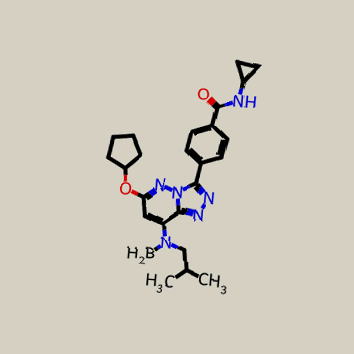 BN(CC(C)C)c1cc(OC2CCCC2)nn2c(-c3ccc(C(=O)NC4CC4)cc3)nnc12